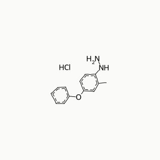 Cc1cc(Oc2ccccc2)ccc1NN.Cl